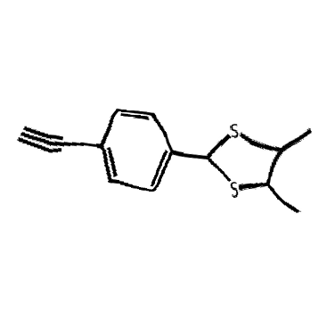 C#Cc1ccc(C2SC(C)C(C)S2)cc1